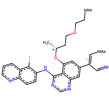 CN/C=C(\C=N)c1cc(O[C@H](C)CCOCCNC)c2c(Nc3ccc4ncccc4c3F)ncnc2c1